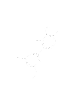 COc1c(Cl)ccc(-c2cc(N)cc(OC(=O)O)n2)c1F